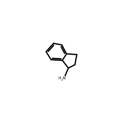 NC1CCc2c[c]ccc21